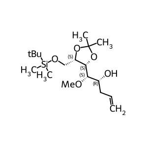 C=CC[C@@H](O)[C@H](OC)[C@H]1OC(C)(C)O[C@H]1CO[Si](C)(C)C(C)(C)C